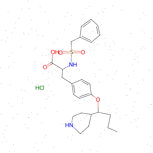 CCCC(Oc1ccc(CC(NS(=O)(=O)Cc2ccccc2)C(=O)O)cc1)C1CCNCC1.Cl